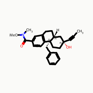 CC#C[C@@]1(O)CC[C@@]2(Cc3ccccc3)c3ccc(C(=O)N(C)OC)cc3CC[C@@H]2C1